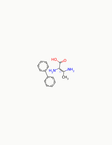 C/C(N)=C(\N)C(=O)O.c1ccc(-c2ccccc2)cc1